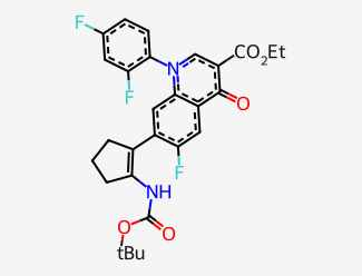 CCOC(=O)c1cn(-c2ccc(F)cc2F)c2cc(C3=C(NC(=O)OC(C)(C)C)CCC3)c(F)cc2c1=O